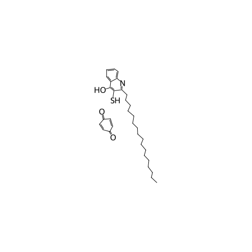 CCCCCCCCCCCCCCCCCc1nc2ccccc2c(O)c1S.O=C1C=CC(=O)C=C1